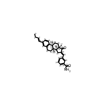 CC/C=C/c1ccc2c(c1)CC[C@@H]1[C@@H]2CC[C@]2(C)C(=O)/C(=C/c3cccc(C(N)=O)c3)C[C@@H]12